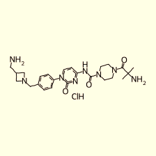 CC(C)(N)C(=O)N1CCN(C(=O)Nc2ccn(-c3ccc(CN4CC(CN)C4)cc3)c(=O)n2)CC1.Cl